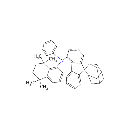 CC1(C)CCC(C)(C)c2c(N(c3ccccc3)c3cccc4c3-c3ccccc3C43C4CC5CC(C4)CC3C5)cccc21